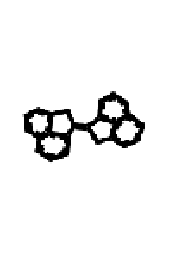 c1cc2c3c(cccc3c1)C(=C1Cc3cccc4cccc1c34)C2